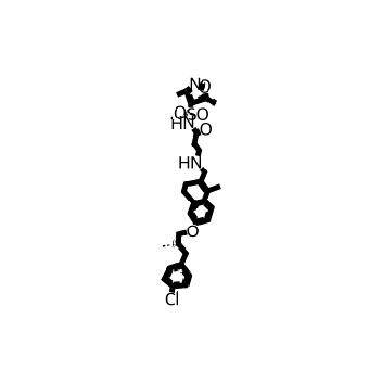 CC1=C(CNCCC(=O)NS(=O)(=O)c2c(C)noc2C)CCc2cc(OC[C@@H](C)Cc3ccc(Cl)cc3)ccc21